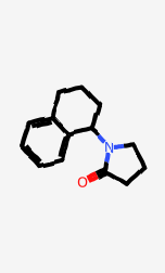 O=C1CCCN1C1CCCc2ccccc21